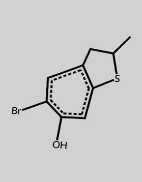 CC1Cc2cc(Br)c(O)cc2S1